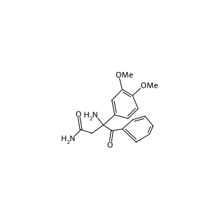 COc1ccc(C(N)(CC(N)=O)C(=O)c2ccccc2)cc1OC